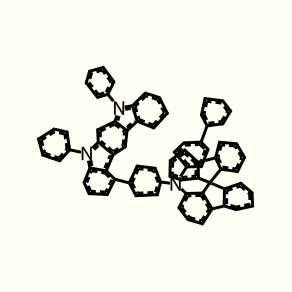 c1ccc(-c2ccc(N(c3ccc(-c4cccc5c4c4cc6c7ccccc7n(-c7ccccc7)c6cc4n5-c4ccccc4)cc3)c3cccc4c3C3(c5ccccc5-c5ccccc53)c3ccccc3-4)cc2)cc1